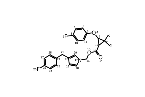 CC1(C)C(Oc2ccc(F)cc2)C1C(=O)OCn1ccc(Cc2ccc(F)cc2)c1